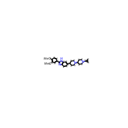 COc1ccc(-c2nc3ccc(C4CCN(C5CCN(C6CC6)CC5)CC4)cc3[nH]2)cc1OC